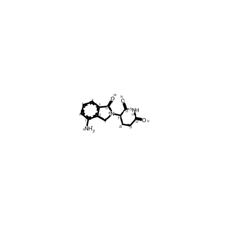 Nc1cccc2c1CN(C1CCC(=O)[15NH]C1=O)C2=O